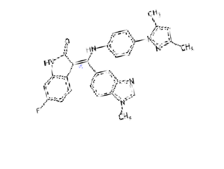 Cc1cc(C)n(-c2ccc(N/C(=C3\C(=O)Nc4cc(F)ccc43)c3ccc4c(c3)ncn4C)cc2)n1